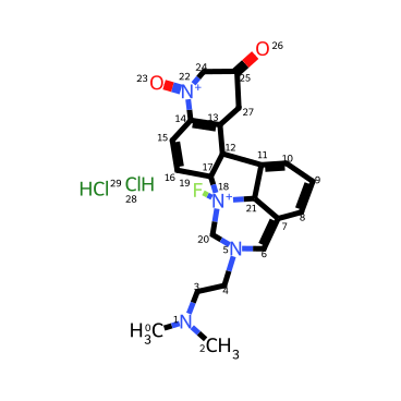 CN(C)CCN1C=C2C=CC=C3C4C5=C(C=CC4[N+](F)(C1)C23)[N+](=O)CC(=O)C5.Cl.Cl